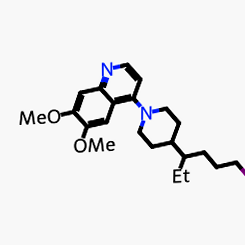 CCC(CCCI)C1CCN(c2ccnc3cc(OC)c(OC)cc23)CC1